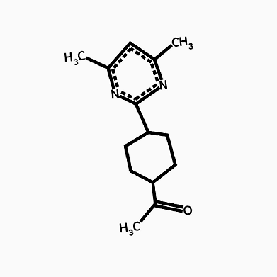 CC(=O)C1CCC(c2nc(C)cc(C)n2)CC1